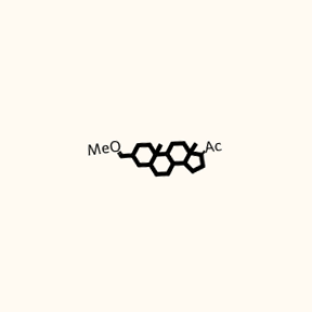 COCC1CCC2(C)C(CCC3C2CCC2(C)C3CC[C@@H]2C(C)=O)C1